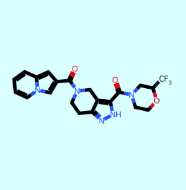 O=C(c1cc2ccccn2c1)N1CCc2n[nH]c(C(=O)N3CCOC(C(F)(F)F)C3)c2C1